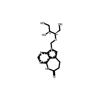 O=C1CCc2cn(CO[C@H](CO)[C@@H](O)CO)c3ncnc(c23)N1